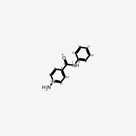 N[n+]1ccc(C(=O)Nc2c[c]ccc2)cc1